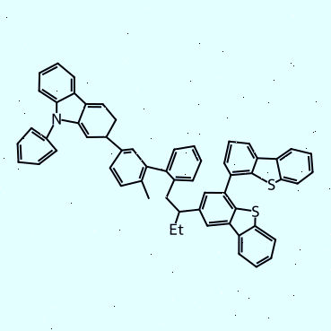 CCC(Cc1ccccc1-c1cc(C2C=c3c(c4ccccc4n3-c3ccccc3)=CC2)ccc1C)c1cc(-c2cccc3c2sc2ccccc23)c2sc3ccccc3c2c1